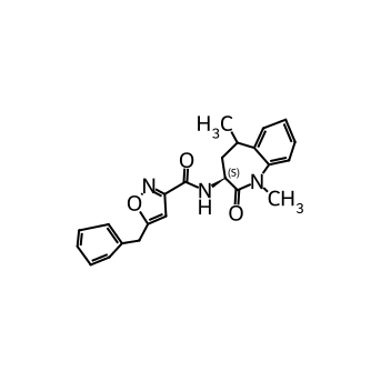 CC1C[C@H](NC(=O)c2cc(Cc3ccccc3)on2)C(=O)N(C)c2ccccc21